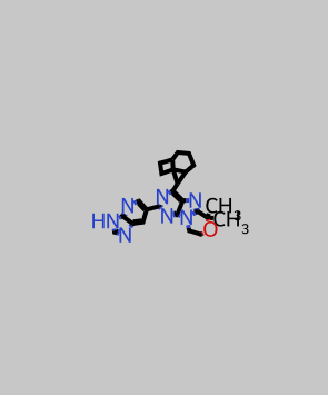 CC1(C)OCCn2c1nc1c(C3C4CCCC5CCC543)nc(-c3cnc4[nH]cnc4c3)nc12